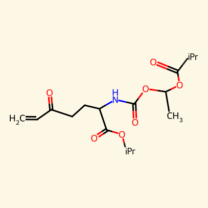 C=CC(=O)CCC(NC(=O)OC(C)OC(=O)C(C)C)C(=O)OC(C)C